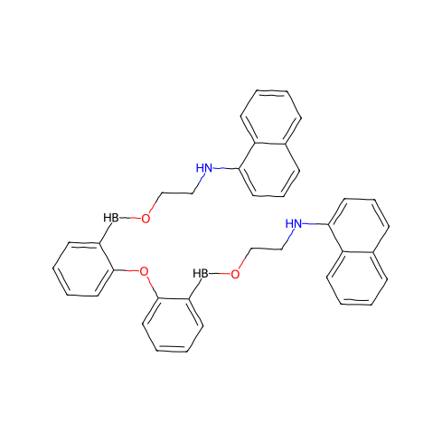 B(OCCNc1cccc2ccccc12)c1ccccc1Oc1ccccc1BOCCNc1cccc2ccccc12